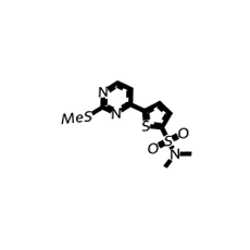 CSc1nccc(-c2ccc(S(=O)(=O)N(C)C)s2)n1